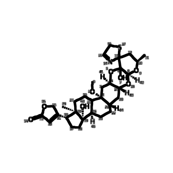 CO[C@]12C[C@H]3OC4(O)[C@@H](O[C@H](C)CC45N=CCS5)O[C@@H]3C[C@@H]1CC[C@@H]1C2CC[C@]2(C)[C@@H](C3=CC(=O)OC3)CC[C@]12O